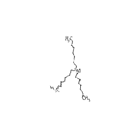 CCCCCCC[CH2][2Al]([CH2]CCCCCCC)[CH2]CCCCCCC